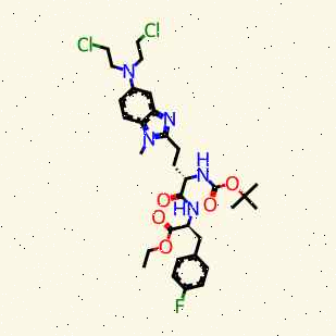 CCOC(=O)[C@H](Cc1ccc(F)cc1)NC(=O)[C@H](CCc1nc2cc(N(CCCl)CCCl)ccc2n1C)NC(=O)OC(C)(C)C